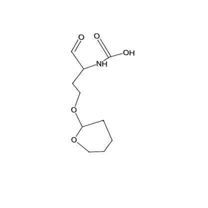 O=CC(CCOC1CCCCO1)NC(=O)O